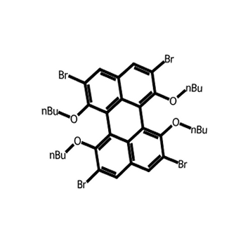 CCCCOc1c(Br)cc2cc(Br)c(OCCCC)c3c4c(OCCCC)c(Br)cc5cc(Br)c(OCCCC)c(c1c23)c54